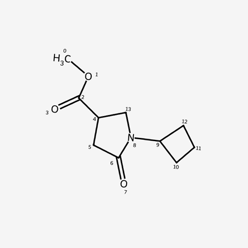 COC(=O)C1CC(=O)N(C2CCC2)C1